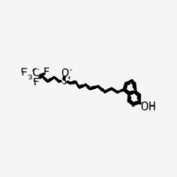 [O-][S+](CCCCCCCCCc1cccc2cc(O)ccc12)CCCC(F)(F)C(F)(F)F